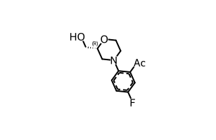 CC(=O)c1cc(F)ccc1N1CCO[C@@H](CO)C1